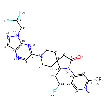 O=C1CC2(CCN(c3cnc4cnn(CC(F)F)c4n3)CC2)C(CCF)N1c1ccnc(C(F)(F)F)c1